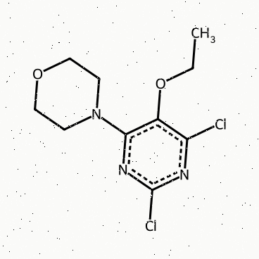 CCOc1c(Cl)nc(Cl)nc1N1CCOCC1